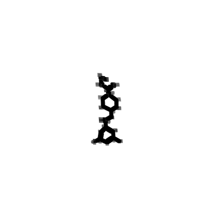 Cc1cc(F)cc(NCC2CCN(C(=O)OC(C)(C)C)CC2)c1